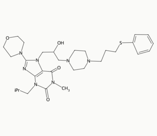 CC(C)Cn1c(=O)n(C)c(=O)c2c1nc(N1CCOCC1)n2CC(O)CN1CCN(CCCSc2ccccc2)CC1